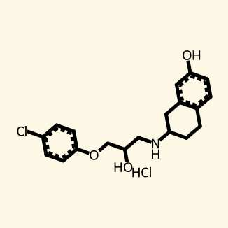 Cl.Oc1ccc2c(c1)CC(NCC(O)COc1ccc(Cl)cc1)CC2